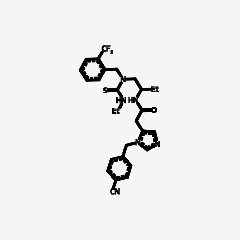 CCNC(=S)N(Cc1ccccc1C(F)(F)F)CC(CC)NC(=O)Cc1cncn1Cc1ccc(C#N)cc1